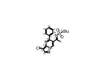 C/C(=N\S(=O)(=O)C(C)(C)C)c1cn2ncc(Cl)c2nc1-c1ccccc1